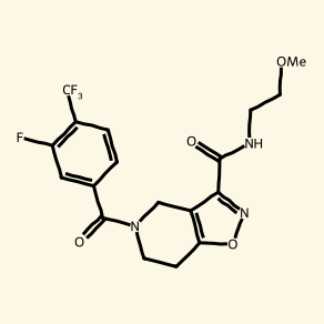 COCCNC(=O)c1noc2c1CN(C(=O)c1ccc(C(F)(F)F)c(F)c1)CC2